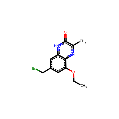 CCOc1cc(CBr)cc2[nH]c(=O)c(C)nc12